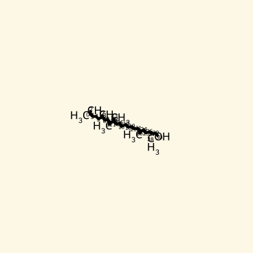 CC(C)=CCC/C(C)=C/C=C(C)/C(C)=C/C=C/C=C/C=C/C=C(C)/C=C/C=C(\C)CO